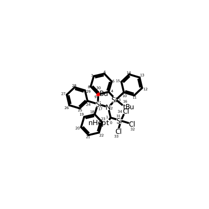 CCCCCCCC(N([Si](c1ccccc1)(c1ccccc1)C(C)(C)C)[Si](c1ccccc1)(c1ccccc1)C(C)(C)C)[Si](Cl)(Cl)Cl